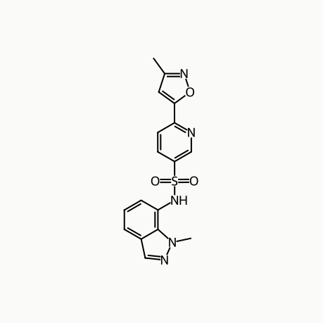 Cc1cc(-c2ccc(S(=O)(=O)Nc3cccc4cnn(C)c34)cn2)on1